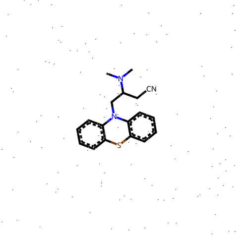 CN(C)C(CC#N)CN1c2ccccc2Sc2ccccc21